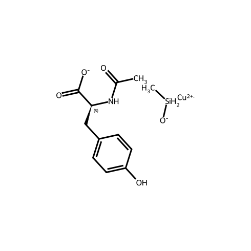 CC(=O)N[C@@H](Cc1ccc(O)cc1)C(=O)[O-].C[SiH2][O-].[Cu+2]